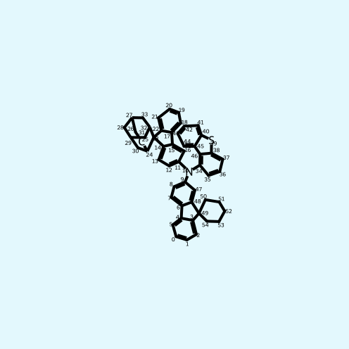 c1ccc2c(c1)-c1ccc(N(c3ccc4c(c3)-c3ccccc3C43C4CCC5CC(C4)CC3C5)c3cccc4sc5ccccc5c34)cc1C21CCCCC1